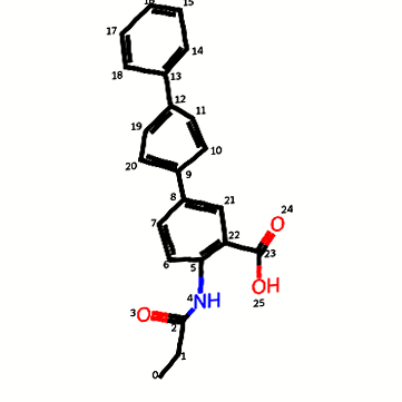 CCC(=O)Nc1ccc(-c2ccc(-c3ccccc3)cc2)cc1C(=O)O